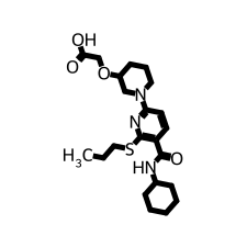 CCCSc1nc(N2CCCC(OCC(=O)O)C2)ccc1C(=O)NC1CCCCC1